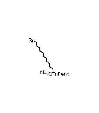 CCCCCC(CCCCCCCCCCCBr)OCCCC